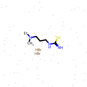 Br.Br.CCN(C)CCCNC(=N)S